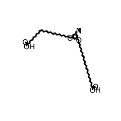 CN(C)Cc1cc(OCCCCCCC=CCC=CCC=CCCCCCCCC(=O)O)cc(OCCCCCCC=CCC=CC/C=C\CCCCCCCC(=O)O)c1